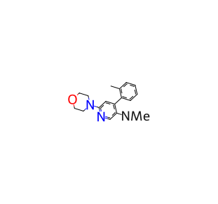 CNc1cnc(N2CCOCC2)cc1-c1ccccc1C